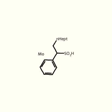 CCCCCCCCC(c1ccccc1)S(=O)(=O)O.[Mo]